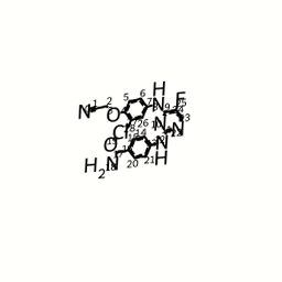 N#CCOc1ccc(Nc2nc(Nc3ccc(C(N)=O)cc3)ncc2F)cc1Cl